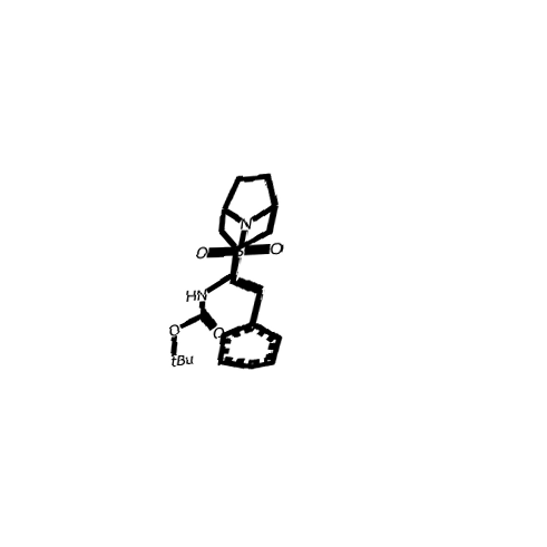 CC(C)(C)OC(=O)NCC1CC2CCC(C1)N2S(=O)(=O)/C=C/c1ccccc1